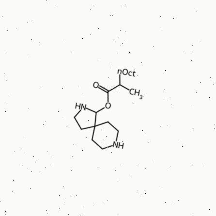 CCCCCCCCC(C)C(=O)OC1NCCC12CCNCC2